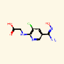 N/C(=N/O)c1cnc(NCC(=O)O)c(Cl)c1